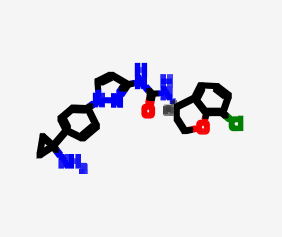 NC1(c2ccc(-n3ccc(NC(=O)N[C@H]4CCOc5c(Cl)cccc54)n3)cc2)CC1